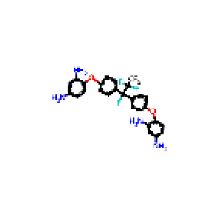 Nc1ccc(Oc2ccc(C(F)(c3ccc(Oc4ccc(N)cc4N)cc3)C(F)(F)C(F)(F)F)cc2)c(N)c1